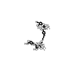 CC(C)(C)C(NC(=O)COCCCCOc1ccc(C(=O)N[C@H]2C(C)(C)[C@H](Oc3ccc(C#N)c(Cl)c3)C2(C)C)cc1)C(=O)N1C[C@H](O)CC1C(=O)NCc1ccc(C(O)O)cc1